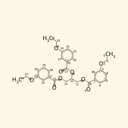 CCOc1cccc(C(=O)OCC(COC(=O)c2cccc(OCC)c2)OC(=O)c2cccc(OCC)c2)c1